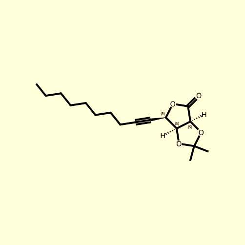 CCCCCCCCC#C[C@H]1OC(=O)[C@H]2OC(C)(C)O[C@H]21